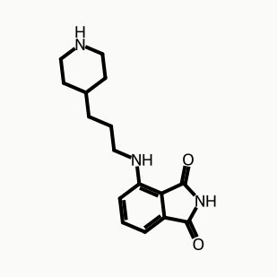 O=C1NC(=O)c2c(NCCCC3CCNCC3)cccc21